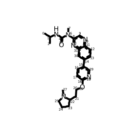 CC(C)NC(=O)N(C)c1cnc2ccc(-c3ccc(OCCC4CCCN4C)nc3)cc2n1